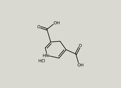 Cl.O=C(O)C1=CNC=C(C(=O)O)C1